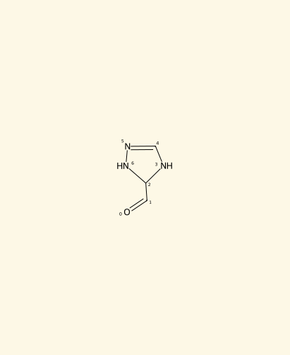 O=CC1NC=NN1